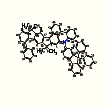 CC1(C)c2cc(N(c3ccc4c(c3)C(c3ccccc3)(c3ccccc3)c3ccccc3-4)c3ccccc3-c3ccccc3)ccc2-c2cc3c(cc21)-c1c(-c2ccccc2)cccc1C3(C)C